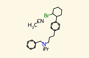 CC#N.CC(C)N(CCCc1ccc(C2CCCCC2Br)cc1)Cc1ccccc1